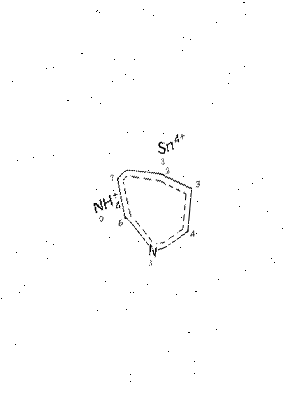 [NH4+].[Sn+4].c1ccncc1